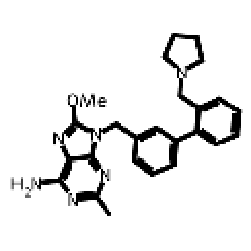 COc1nc2c(N)nc(C)nc2n1Cc1cccc(-c2ccccc2CN2CCCC2)c1